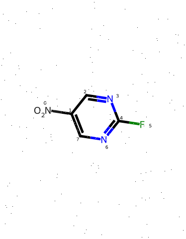 O=[N+]([O-])c1cnc(F)nc1